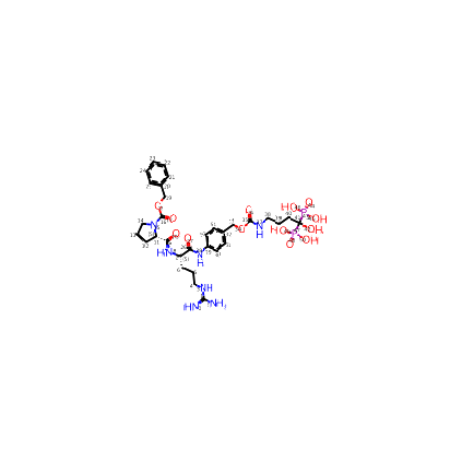 N=C(N)NCCC[C@H](NC(=O)[C@@H]1CCCN1C(=O)OCc1ccccc1)C(=O)Nc1ccc(COC(=O)NCCCC(O)(P(=O)(O)O)P(=O)(O)O)cc1